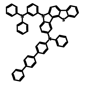 c1ccc(-c2ccc(-c3ccc(N(c4ccccc4)c4ccc5c(c4)c4c6sc7ccccc7c6ccc4n5-c4cccc(N(c5ccccc5)c5ccccc5)c4)cc3)cc2)cc1